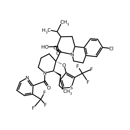 CCC[C@H]1N(C(=O)c2ncccc2C(F)(F)F)CCC[C@@]1(Oc1ccsc1C(F)(F)F)C(=O)N1CCc2cc(Cl)ccc2C1CC(C(=O)O)C(C)C